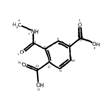 CNC(=O)c1cc(C(=O)O)ccc1C(=O)O